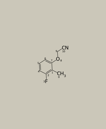 Cc1c(F)cccc1OCC#N